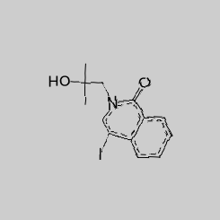 CC(C)(O)Cn1cc(I)c2ccccc2c1=O